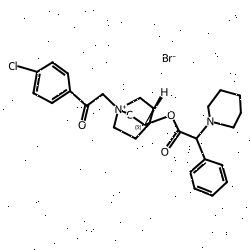 O=C(C[N+]12CCC(CC1)[C@@H](OC(=O)C(c1ccccc1)N1CCCCC1)C2)c1ccc(Cl)cc1.[Br-]